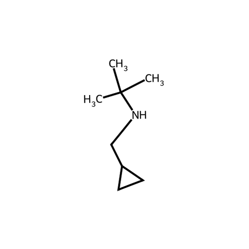 CC(C)(C)NCC1CC1